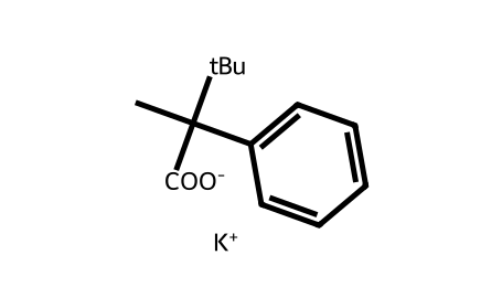 CC(C)(C)C(C)(C(=O)[O-])c1ccccc1.[K+]